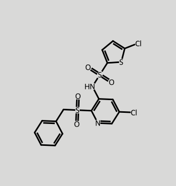 O=S(=O)(Cc1ccccc1)c1ncc(Cl)cc1NS(=O)(=O)c1ccc(Cl)s1